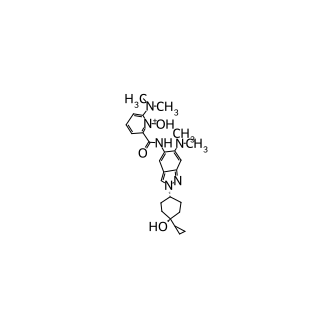 CN(C)c1cc2nn([C@H]3CC[C@@](O)(C4CC4)CC3)cc2cc1NC(=O)c1cccc(N(C)C)[n+]1O